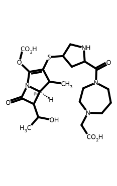 CC(O)C1C(=O)N2C(OC(=O)O)=C(SC3CNC(C(=O)N4CCCN(CC(=O)O)CC4)C3)C(C)[C@@H]12